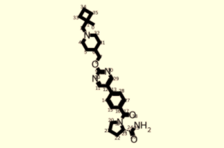 CC1(CN2CCC(COc3ncc(-c4ccc(C(=O)N5CCC[C@H]5C(N)=O)cc4)cn3)CC2)CCC1